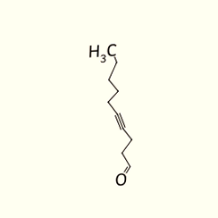 CCCCCC#CCCC=O